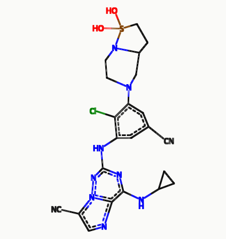 N#Cc1cc(Nc2nc(NC3CC3)c3ncc(C#N)n3n2)c(Cl)c(N2CCN3C(CCS3(O)O)C2)c1